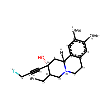 COc1cc2c(cc1OC)[C@H]1C[C@](O)(C#CCF)C(CC(C)C)CN1CC2